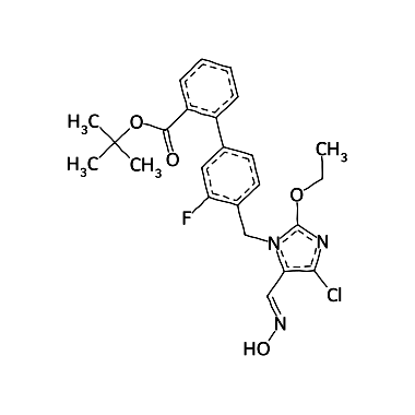 CCOc1nc(Cl)c(C=NO)n1Cc1ccc(-c2ccccc2C(=O)OC(C)(C)C)cc1F